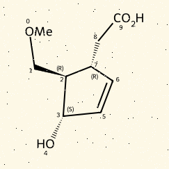 COC[C@@H]1[C@@H](O)C=C[C@H]1CC(=O)O